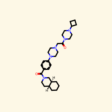 O=C(CN1CCN(c2ccc(C(=O)N3CC[C@H]4CCCC[C@@H]4C3)cc2)CC1)N1CCN(C2CCC2)CC1